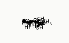 COc1ccc(C(CC(=O)O)NC(=O)C(CC(=O)NCc2ccc(NC(=O)Nc3ccccc3C)cc2)CC(C)C)cc1